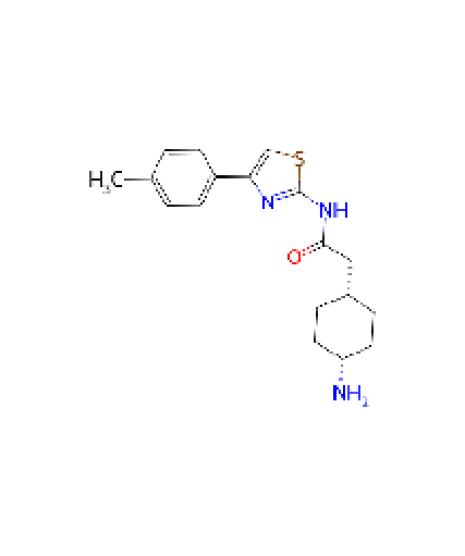 Cc1ccc(-c2csc(NC(=O)C[C@H]3CC[C@@H](N)CC3)n2)cc1